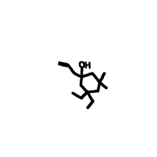 C=CCC1(O)CC(C)(C)CC(CC)(CC)C1